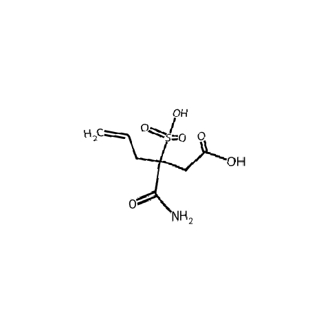 C=CCC(CC(=O)O)(C(N)=O)S(=O)(=O)O